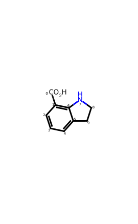 O=C(O)c1cccc2c1NCC2